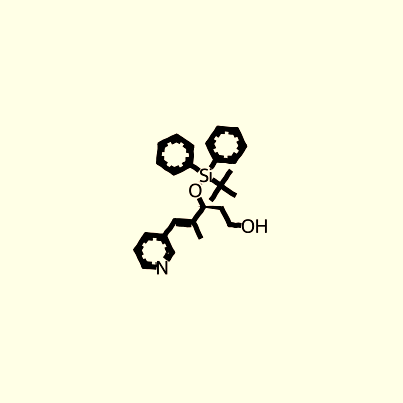 CC(=Cc1cccnc1)[C@H](CCO)O[Si](c1ccccc1)(c1ccccc1)C(C)(C)C